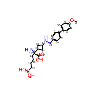 COc1ccc(-c2ccc(CNC3CC(C(N)(CCCCB(O)O)C(=O)O)C3)cc2)cc1